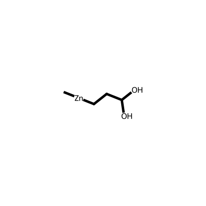 [CH3][Zn][CH2]CC(O)O